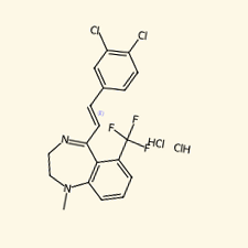 CN1CCN=C(/C=C/c2ccc(Cl)c(Cl)c2)c2c1cccc2C(F)(F)F.Cl.Cl